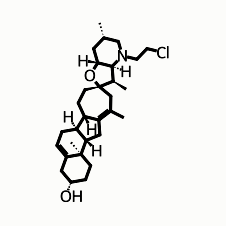 CC1=C2C[C@H]3[C@@H](CC=C4C[C@@H](O)CC[C@@]43C)[C@@H]2CC[C@@]2(C1)O[C@@H]1C[C@H](C)CN(CCCl)[C@H]1[C@H]2C